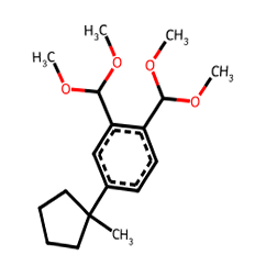 COC(OC)c1ccc(C2(C)CCCC2)cc1C(OC)OC